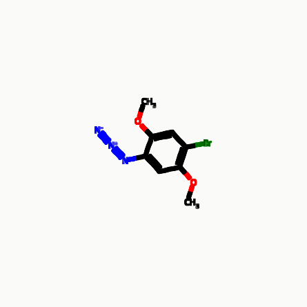 COc1cc(N=[N+]=[N-])c(OC)cc1Br